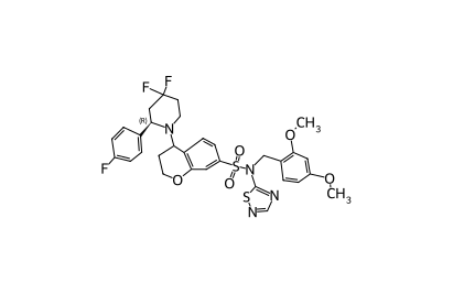 COc1ccc(CN(c2ncns2)S(=O)(=O)c2ccc3c(c2)OCCC3N2CCC(F)(F)C[C@@H]2c2ccc(F)cc2)c(OC)c1